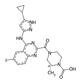 C[C@@H]1CN(C(=O)c2nc(Nc3cc(C4CC4)[nH]n3)c3cc(I)ccc3n2)CCN1C(=O)O